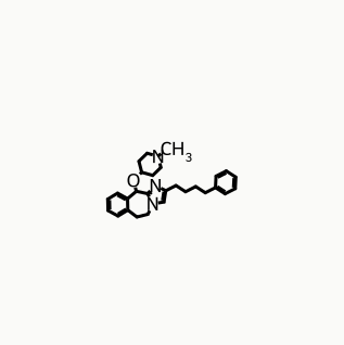 CN1CCC(OC2c3ccccc3CCn3cc(CCCCc4ccccc4)nc32)CC1